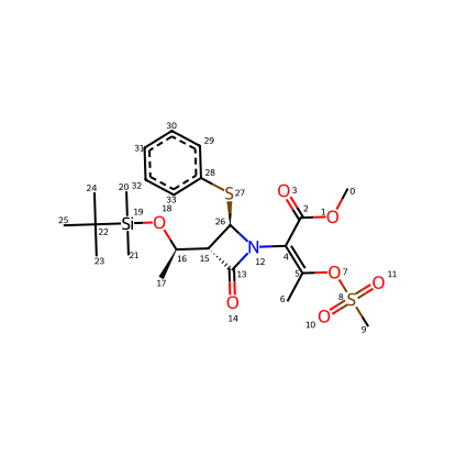 COC(=O)/C(=C(/C)OS(C)(=O)=O)N1C(=O)[C@H]([C@@H](C)O[Si](C)(C)C(C)(C)C)[C@H]1Sc1ccccc1